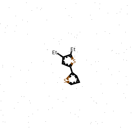 CCc1cc(-c2cccs2)sc1CC